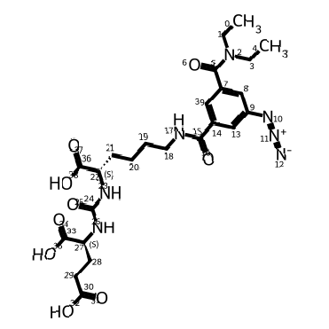 CCN(CC)C(=O)c1cc(N=[N+]=[N-])cc(C(=O)NCCCC[C@H](NC(=O)N[C@@H](CCC(=O)O)C(=O)O)C(=O)O)c1